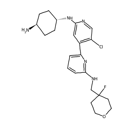 N[C@H]1CC[C@H](Nc2cc(-c3cccc(NCC4(F)CCOCC4)n3)c(Cl)cn2)CC1